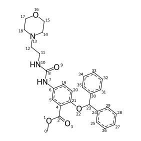 COC(=O)c1cc(NC(=O)NCCN2CCOCC2)ccc1OC(c1ccccc1)c1ccccc1